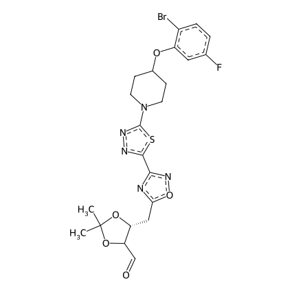 CC1(C)OC(C=O)[C@@H](Cc2nc(-c3nnc(N4CCC(Oc5cc(F)ccc5Br)CC4)s3)no2)O1